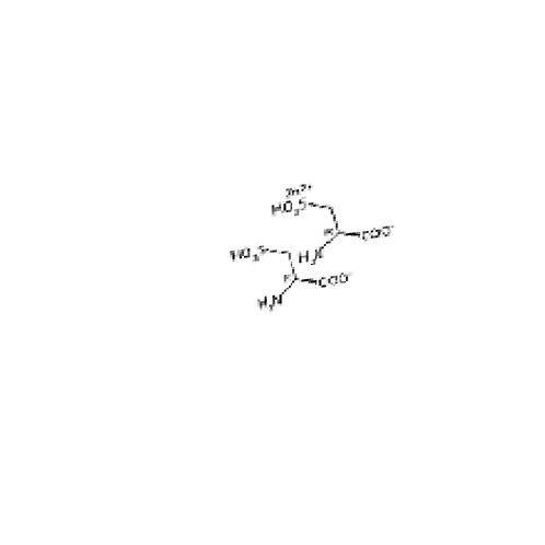 N[C@@H](CS(=O)(=O)O)C(=O)[O-].N[C@@H](CS(=O)(=O)O)C(=O)[O-].[Zn+2]